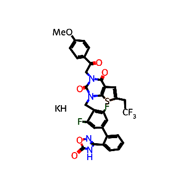 COc1ccc(C(=O)Cn2c(=O)c3cc(CC(F)(F)F)sc3n(Cc3c(F)cc(-c4ccccc4-c4noc(=O)[nH]4)cc3F)c2=O)cc1.[KH]